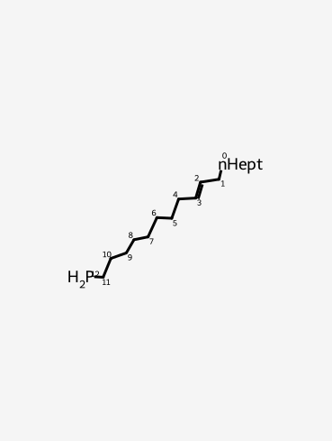 CCCCCCCCC=CCCCCCCCCP